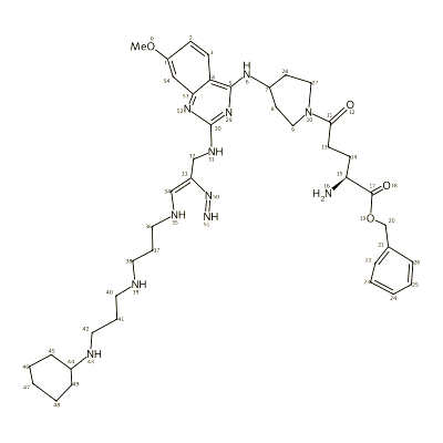 COc1ccc2c(NC3CCN(C(=O)CC[C@H](N)C(=O)OCc4ccccc4)CC3)nc(NC/C(=C/NCCCNCCCNC3CCCCC3)N=N)nc2c1